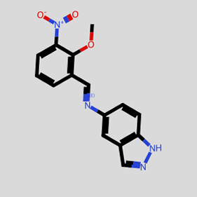 COc1c(/C=N/c2ccc3[nH]ncc3c2)cccc1[N+](=O)[O-]